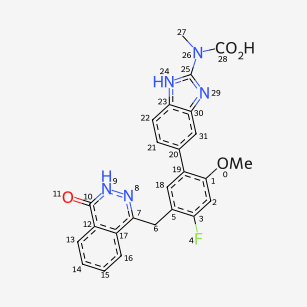 COc1cc(F)c(Cc2n[nH]c(=O)c3ccccc23)cc1-c1ccc2[nH]c(N(C)C(=O)O)nc2c1